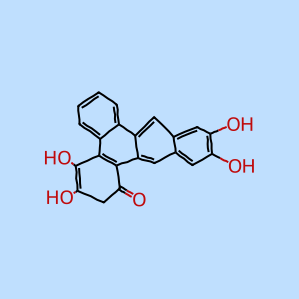 O=C1CC(O)=C(O)c2c1c1cc3cc(O)c(O)cc3cc1c1ccccc21